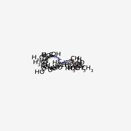 CC[C@@H]1C[C@@H](C)C2(NC1=O)O[C@@H](C[C@H](O)[C@@H](C)CC/C=C/C=C(\C)C1C/C=C/C=C/[C@@H](O)[C@H](C)[C@@H](O)[C@@H](CCC(C)=O)C(=O)NC(C(C)C)C(=O)N[C@@H](Cc3cccc(O)c3)C(=O)N3CCC[C@H](N3)C(=O)O1)[C@H](C)[C@H](O)[C@@H]2C